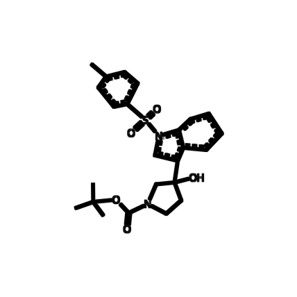 Cc1ccc(S(=O)(=O)n2cc(C3(O)CCN(C(=O)OC(C)(C)C)C3)c3ccccc32)cc1